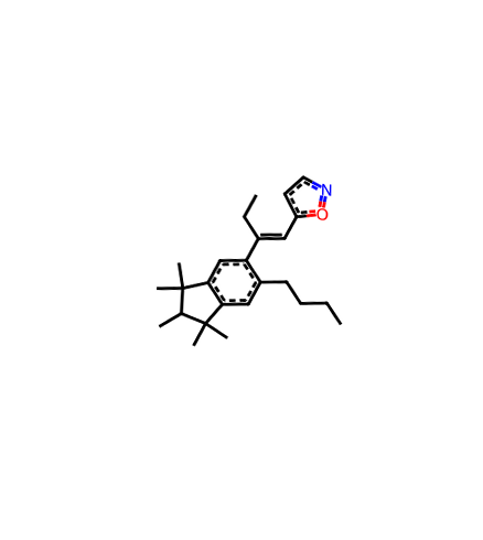 CCCCc1cc2c(cc1C(=Cc1ccno1)CC)C(C)(C)C(C)C2(C)C